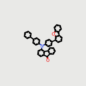 O=C1c2ccccc2-c2c1cccc2N(c1ccc(-c2ccccc2)cc1)c1ccc(-c2cccc3c2oc2ccccc23)cc1